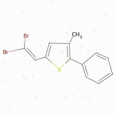 Cc1cc(C=C(Br)Br)sc1-c1ccccc1